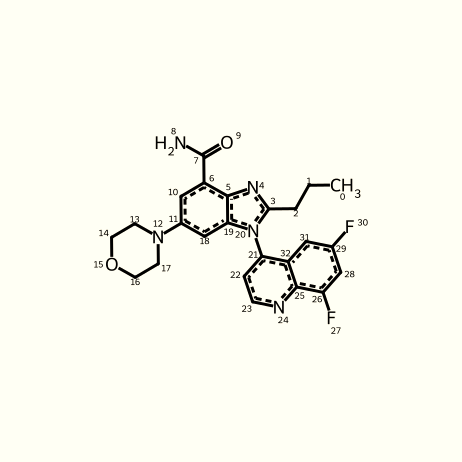 CCCc1nc2c(C(N)=O)cc(N3CCOCC3)cc2n1-c1ccnc2c(F)cc(F)cc12